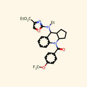 CCOC(=O)c1coc(N(CC)C2c3ccccc3N(C(=O)c3ccc(OC(F)(F)F)cc3)C3CCCC23)n1